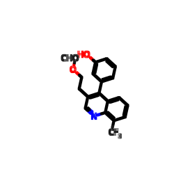 O=COCCc1cnc2c(C(F)(F)F)cccc2c1-c1cccc(O)c1